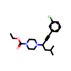 CCOC(=O)N1CCN(C(C#Cc2cccc(Cl)c2)CC(C)C)CC1